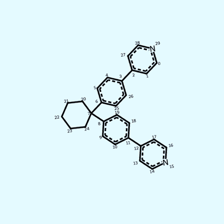 c1cc(-c2ccc(C3(c4ccc(-c5ccncc5)cc4)CCCCC3)cc2)ccn1